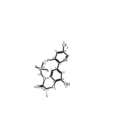 C[C@@H](Oc1ccc(-c2ncc(C(F)(F)F)cc2F)cc1O)C(=O)OC[Si](C)(C)C